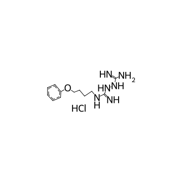 Cl.N=C(N)NNC(=N)NCCCCOc1ccccc1